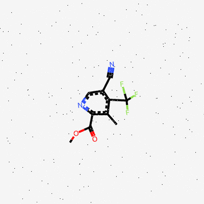 COC(=O)c1ncc(C#N)c(C(F)(F)F)c1C